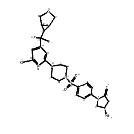 N[C@@H]1CC(=O)N(c2ccc(S(=O)(=O)N3CCN(c4cc(C(F)(F)C5C6COCC65)cc(Cl)n4)CC3)cc2)C1